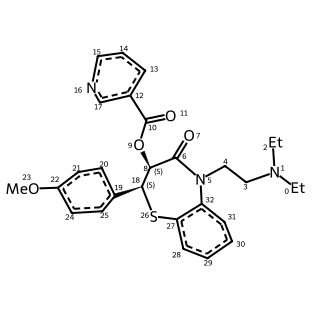 CCN(CC)CCN1C(=O)[C@H](OC(=O)c2cccnc2)[C@H](c2ccc(OC)cc2)Sc2ccccc21